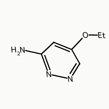 CCOc1cnnc(N)c1